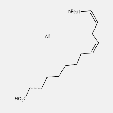 CCCCC/C=C\C/C=C\CCCCCCCC(=O)O.[Ni]